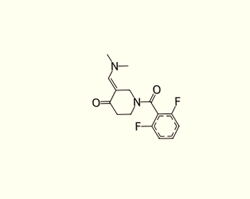 CN(C)C=C1CN(C(=O)c2c(F)cccc2F)CCC1=O